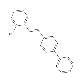 N#Cc1ccccc1C=Cc1ccc(-c2ccccc2)cc1